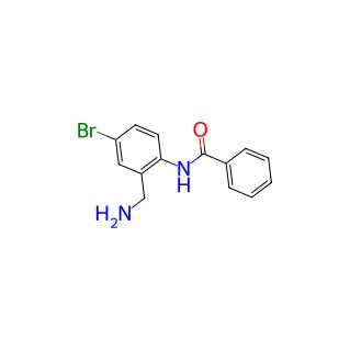 NCc1cc(Br)ccc1NC(=O)c1ccccc1